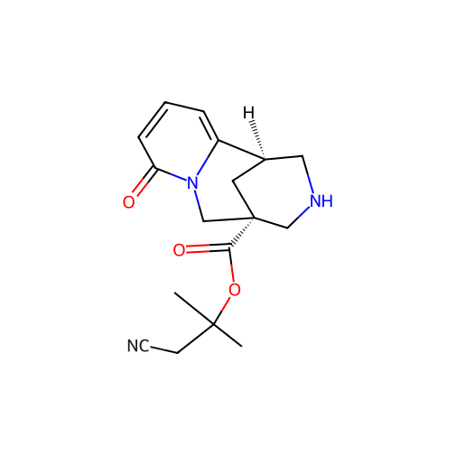 CC(C)(CC#N)OC(=O)[C@@]12CNC[C@@H](C1)c1cccc(=O)n1C2